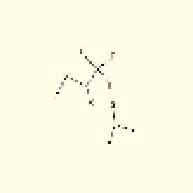 CCC(SSC(C)C)C(F)(F)F